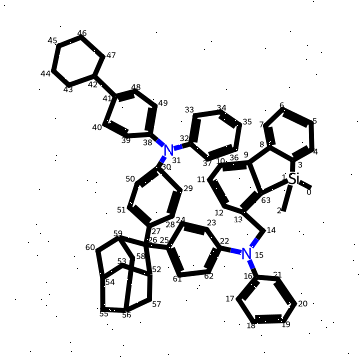 C[Si]1(C)c2ccccc2-c2cccc(CN(c3ccccc3)c3ccc(C4(c5ccc(N(c6ccccc6)c6ccc(C7CCCCC7)cc6)cc5)C5CC6CC(C5)CC4C6)cc3)c21